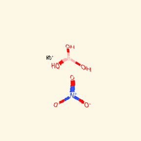 O=[N+]([O-])[O-].OB(O)O.[Rb+]